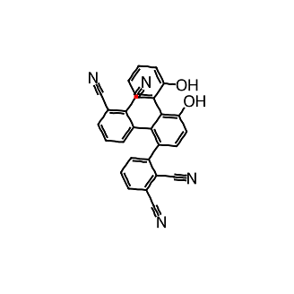 N#Cc1cccc(-c2ccc(O)c(-c3ccccc3O)c2-c2cccc(C#N)c2C#N)c1C#N